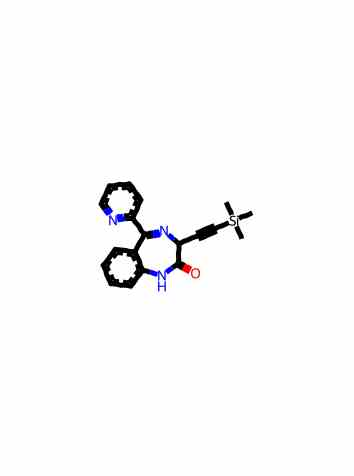 C[Si](C)(C)C#CC1N=C(c2ccccn2)c2ccccc2NC1=O